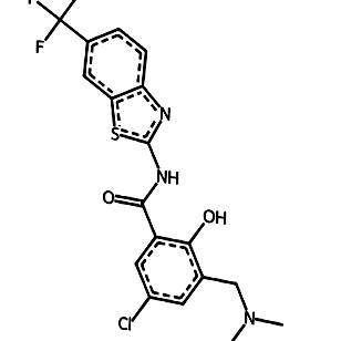 CN(C)Cc1cc(Cl)cc(C(=O)Nc2nc3ccc(C(F)(F)F)cc3s2)c1O